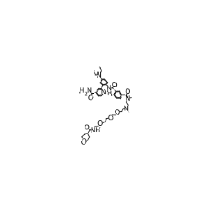 CCN(CC)c1ccc(NC(=O)c2cccc(C(=O)N(C)CCN(C)CCOCCOCCOCCNC(=O)C3CCOCC3)c2)c(-c2cc(C(N)=O)ccn2)c1